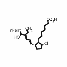 C=C/C(=C\C=C\[C@H]1CC[C@@H](Cl)[C@@H]1CCCCCCC(=O)O)C(O)CCCCC